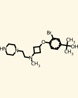 CN(CCN1CCNCC1)C1CC(Oc2ccc(C(C)(C)O)cc2Br)C1